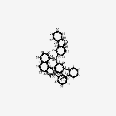 CC1(C)c2ccccc2-c2cc(N(c3ccc4oc5ccccc5c4c3)c3cccc4ccc5nc(-c6ccccc6)oc5c34)ccc21